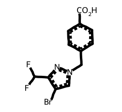 O=C(O)c1ccc(Cn2cc(Br)c(C(F)F)n2)cc1